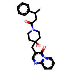 CC(CC(=O)N1CCC(O)(Cc2cnc3ccccn3c2=O)CC1)c1ccccc1